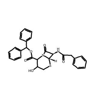 O=C(Cc1ccccc1)N[C@@H]1C(=O)N2C(C(=O)OC(c3ccccc3)c3ccccc3)C(O)CS[C@@H]12